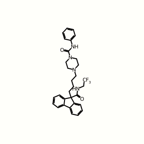 O=C(Nc1ccccc1)N1CCN(CCCCC2(C(=O)NCC(F)(F)F)c3ccccc3-c3ccccc32)CC1